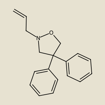 C=CCN1CC(c2ccccc2)(c2ccccc2)CO1